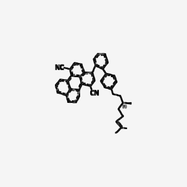 CC(C)=CCC[C@H](C)CCc1ccc(-c2ccccc2-c2cc(C#N)c3c4cccc5cccc(c6c(C#N)ccc2c63)c54)cc1